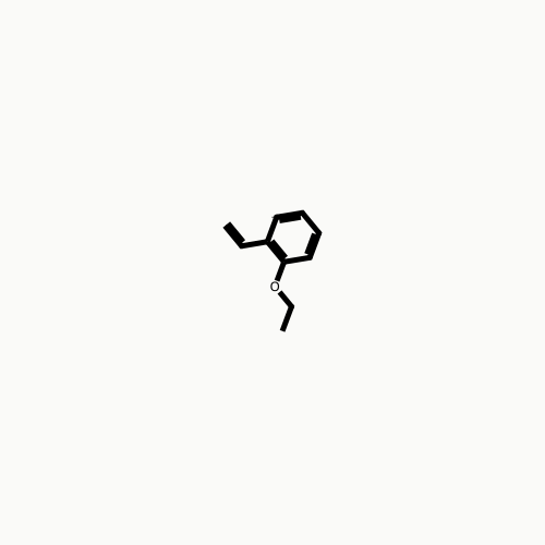 C=Cc1[c]cccc1OCC